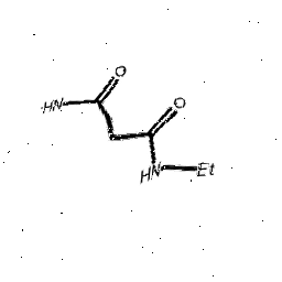 CCNC(=O)CC([NH])=O